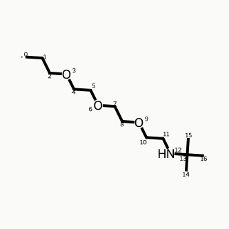 [CH2]CCOCCOCCOCCNC(C)(C)C